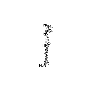 N#Cc1ccc2ccn(Cc3cn(CCCCC(=O)NCCOCCOCCOCCOC(N)=O)cn3)c2c1